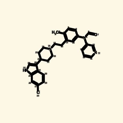 Cc1ccc(N(C=O)c2cccnc2)cc1CCN1CCC(c2c[nH]c3cc(Cl)ccc23)CC1